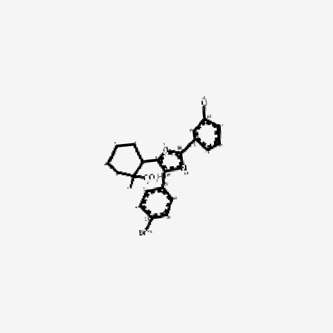 CC1(C(=O)O)CCCCC1c1oc(-c2cccc(Cl)c2)nc1-c1ccc(Br)cc1